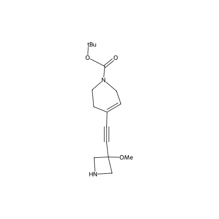 COC1(C#CC2=CCN(C(=O)OC(C)(C)C)CC2)CNC1